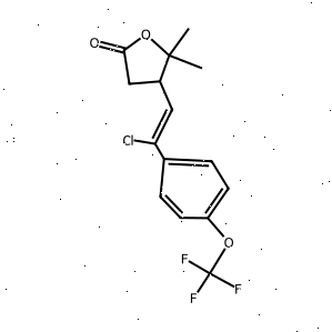 CC1(C)OC(=O)CC1C=C(Cl)c1ccc(OC(F)(F)F)cc1